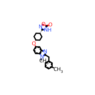 Cc1cccc(Cc2nc3cc(O[C@H]4CC[C@@H](c5noc(=O)[nH]5)CC4)ccc3n2C)c1